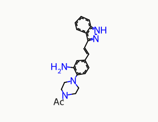 CC(=O)N1CCN(c2ccc(C=Cc3n[nH]c4ccccc34)cc2N)CC1